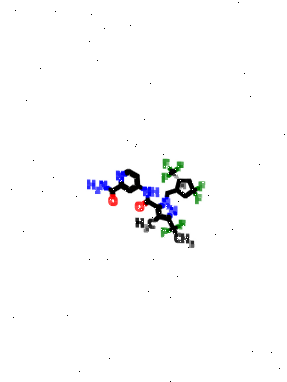 Cc1c(C(C)(F)F)nn(CC2CC(F)(F)C[C@H]2C(F)(F)F)c1C(=O)Nc1ccnc(C(N)=O)c1